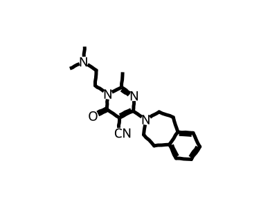 Cc1nc(N2CCc3ccccc3CC2)c(C#N)c(=O)n1CCN(C)C